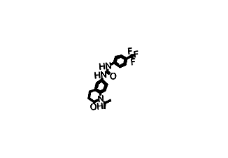 CC(C)N1c2ccc(NC(=O)Nc3ccc(C(F)(F)F)cc3)cc2CCC1O